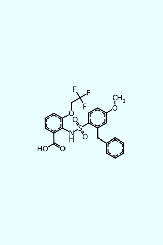 COc1ccc(S(=O)(=O)Nc2c(OCC(F)(F)F)cccc2C(=O)O)c(Cc2ccccc2)c1